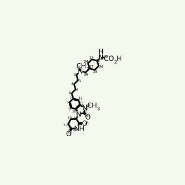 CN(CCCCCc1ccc2c(c1)n(C)c(=O)n2C1CCC(=O)NC1=O)CC1CCC(NC(=O)O)CC1